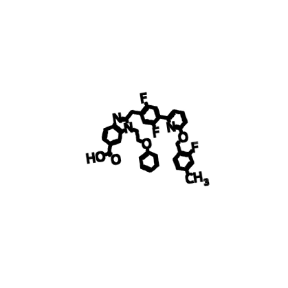 Cc1ccc(COc2cccc(-c3cc(F)c(Cc4nc5ccc(C(=O)O)cc5n4CCOc4ccccc4)cc3F)n2)c(F)c1